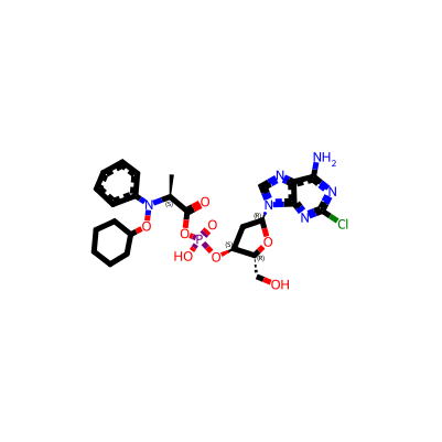 C[C@@H](C(=O)OP(=O)(O)O[C@H]1C[C@H](n2cnc3c(N)nc(Cl)nc32)O[C@@H]1CO)N(OC1CCCCC1)c1ccccc1